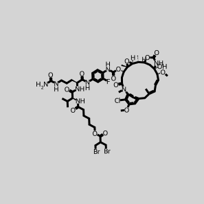 COc1cc2cc(c1Cl)N(C)C(=O)C[C@H](OC(=O)Nc1ccc(NC(=O)[C@H](CCCNC(N)=O)NC(=O)[C@@H](NC(=O)CCCCCOC(=O)C(CBr)CBr)C(C)C)cc1F)[C@]1(C)O[C@H]1[C@H](C)[C@@H]1C[C@@](O)(NC(=O)O1)[C@H](OC)/C=C/C=C(\C)C2